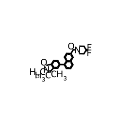 CN1C(=O)c2ccc(-c3cccc4cc(C(=O)N5CCC(F)(F)CC5)ccc34)cc2C1(C)C